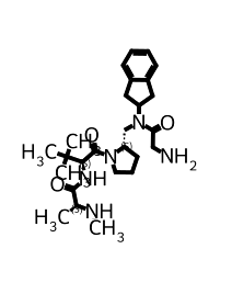 CN[C@@H](C)C(=O)N[C@H](C(=O)N1CCC[C@H]1CN(C(=O)CN)C1Cc2ccccc2C1)C(C)(C)C